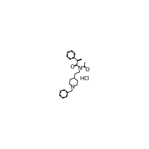 C=C(C(=O)N(CCC1CCN(Cc2ccccc2)CC1)C(C)=O)c1ccccc1.Cl